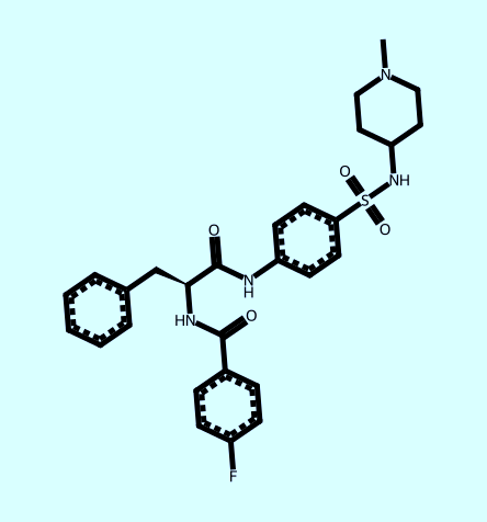 CN1CCC(NS(=O)(=O)c2ccc(NC(=O)[C@H](Cc3ccccc3)NC(=O)c3ccc(F)cc3)cc2)CC1